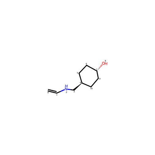 C=CNC[C@H]1CC[C@H](O)CC1